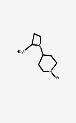 CC(C)N1CCC(N2CCC2C(=O)O)CC1